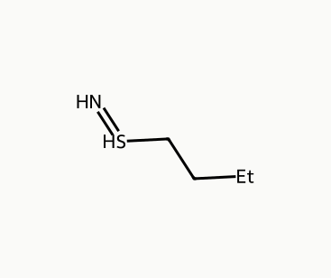 CCCC[SH]=N